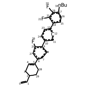 C=CC1CC=C(c2ccc(-c3ccc(-c4ccc(CCCC)c(F)c4F)cc3)c(F)c2)CC1